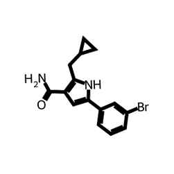 NC(=O)c1cc(-c2cccc(Br)c2)[nH]c1CC1CC1